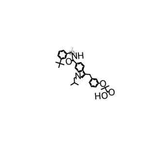 CC(C)Cn1cc(Cc2cccc(OC(C)(C)C(=O)O)c2)c2ccc(C(=O)N[C@@H](C)c3cccc(C(C)(C)C)c3)cc21